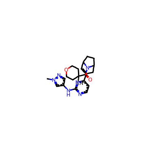 Cn1cc(Nc2nccc(C3=CC4CCC(C3)N4C(=O)C3(C#N)CCOCC3)n2)cn1